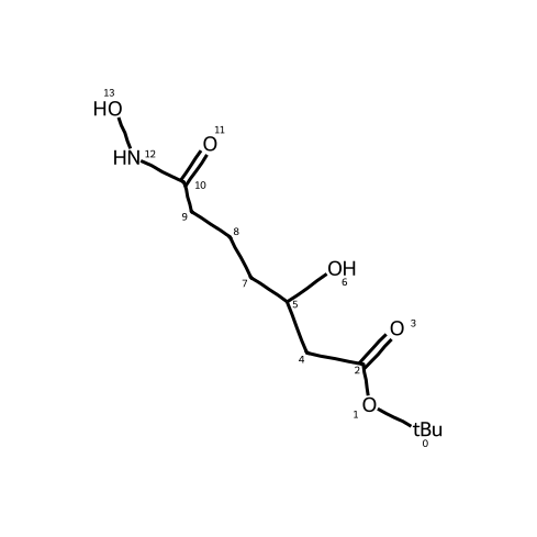 CC(C)(C)OC(=O)CC(O)CCCC(=O)NO